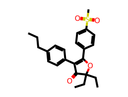 CCCc1ccc(C2=C(c3ccc(S(C)(=O)=O)cc3)OC(CC)(CC)C2=O)cc1